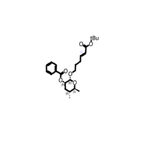 C[C@@H]1C[C@@H](OC(=O)c2ccccc2)[C@H](OCCC/C=C/C(=O)OC(C)(C)C)O[C@H]1C